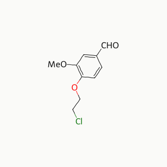 COc1cc(C=O)ccc1OCCCl